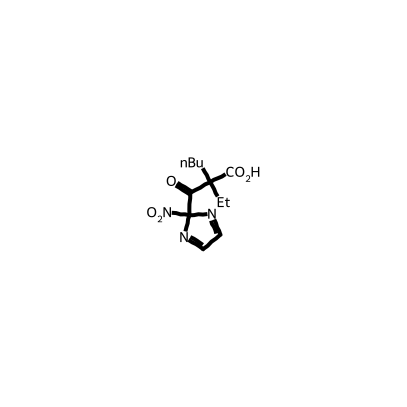 CCCCC(CC)(C(=O)O)C(=O)C1([N+](=O)[O-])N=CC=N1